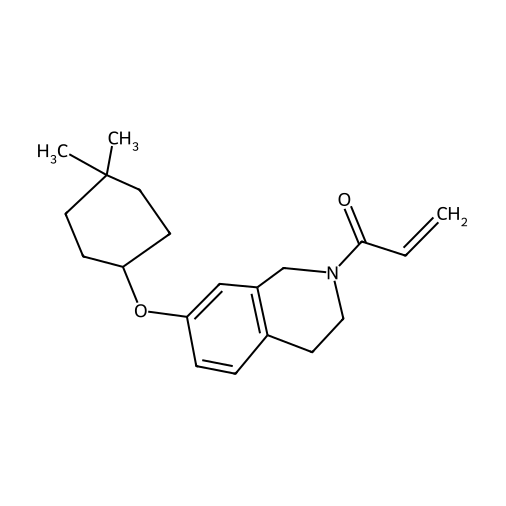 C=CC(=O)N1CCc2ccc(OC3CCC(C)(C)CC3)cc2C1